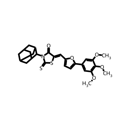 COc1cc(-c2ccc(/C=C3\SC(=S)N(C4C5CC6CC(C5)CC4C6)C3=O)o2)cc(OC)c1OC